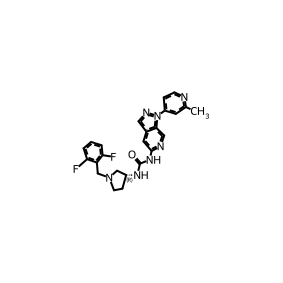 Cc1cc(-n2ncc3cc(NC(=O)N[C@@H]4CCN(Cc5c(F)cccc5F)C4)ncc32)ccn1